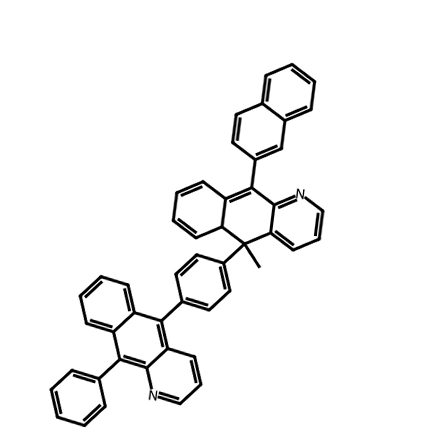 CC1(c2ccc(-c3c4ccccc4c(-c4ccccc4)c4ncccc34)cc2)c2cccnc2C(c2ccc3ccccc3c2)=C2C=CC=CC21